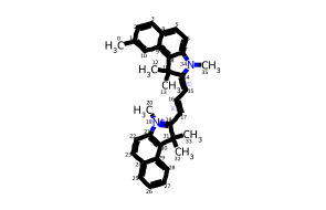 Cc1ccc2ccc3c(c2c1)C(C)(C)/C(=C\C=C\C1=[N+](C)c2ccc4ccccc4c2C1(C)C)N3C